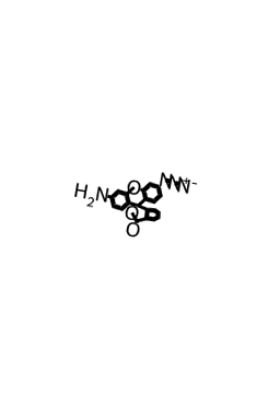 [N-]=[N+]=Nc1ccc2c(c1)Oc1cc(N)ccc1C21OC(=O)c2ccccc21